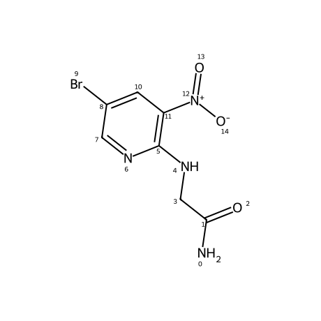 NC(=O)CNc1ncc(Br)cc1[N+](=O)[O-]